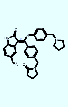 O=C1Nc2ccc([N+](=O)[O-])cc2/C1=C(/Nc1ccc(CN2CCCC2)cc1)c1ccc(CN2CCCC2=O)cc1